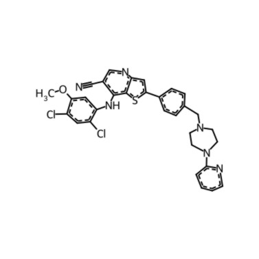 COc1cc(Nc2c(C#N)cnc3cc(-c4ccc(CN5CCN(c6ccccn6)CC5)cc4)sc23)c(Cl)cc1Cl